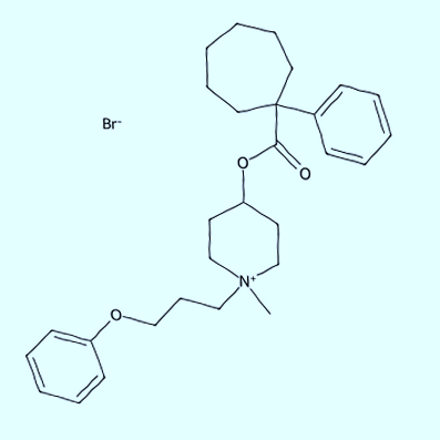 C[N+]1(CCCOc2ccccc2)CCC(OC(=O)C2(c3ccccc3)CCCCCC2)CC1.[Br-]